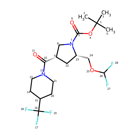 CC(C)(C)OC(=O)N1C[C@@H](C(=O)N2CCC(C(F)(F)F)CC2)C[C@H]1COC(F)F